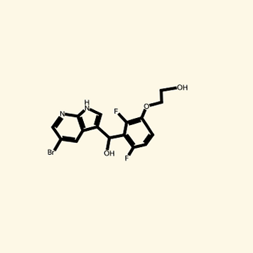 OCCOc1ccc(F)c(C(O)c2c[nH]c3ncc(Br)cc23)c1F